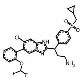 NCCC(c1ccc(S(=O)(=O)CC2CC2)cc1)c1nc2cc(-c3ccccc3OC(F)F)c(Cl)cc2[nH]1